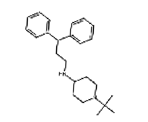 CC(C)(C)N1CCC(NCCC(c2ccccc2)c2ccccc2)CC1